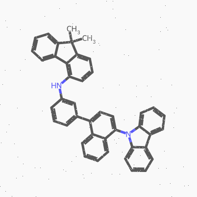 CC1(C)c2ccccc2-c2c(Nc3cccc(-c4ccc(-n5c6ccccc6c6ccccc65)c5ccccc45)c3)cccc21